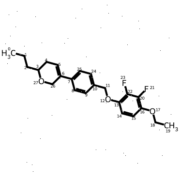 CCCC1CC=C(c2ccc(COc3ccc(OCC)c(F)c3F)cc2)CO1